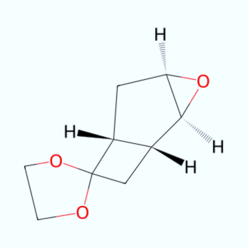 C1COC2(C[C@H]3[C@@H]4O[C@@H]4C[C@H]32)O1